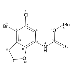 CC(C)(C)OC(=O)Nc1cc(Cl)c(Br)c2c1OCC2